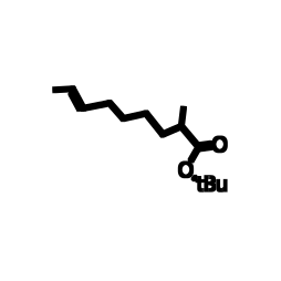 CC=CCCCCC(C)C(=O)OC(C)(C)C